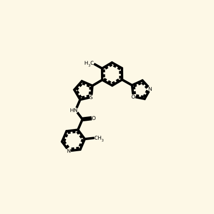 Cc1cnccc1C(=O)Nc1ccc(-c2cc(-c3cnco3)ccc2C)s1